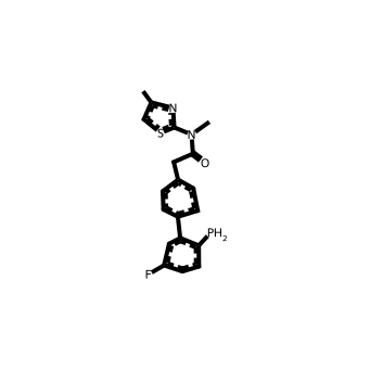 Cc1csc(N(C)C(=O)Cc2ccc(-c3cc(F)ccc3P)cc2)n1